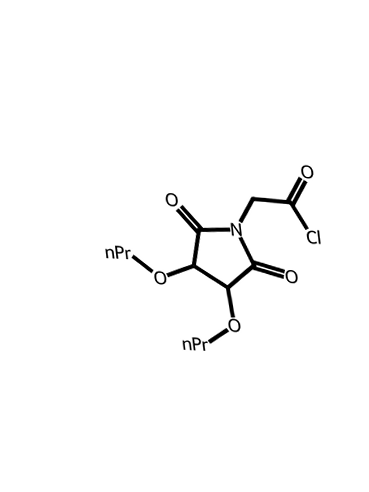 CCCOC1C(=O)N(CC(=O)Cl)C(=O)C1OCCC